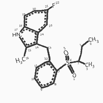 CCC(C)S(=O)(=O)c1ccccc1Cc1c(C)[nH]c2ccc(F)cc12